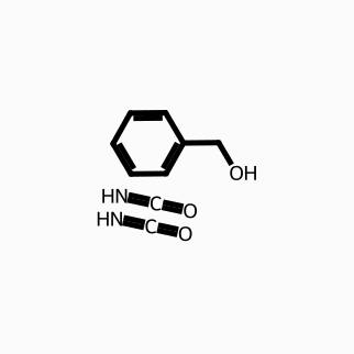 N=C=O.N=C=O.OCc1ccccc1